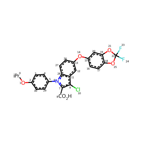 CC(C)Oc1ccc(-n2c(C(=O)O)c(Cl)c3cc(Oc4ccc5c(c4)OC(F)(F)O5)ccc32)cc1